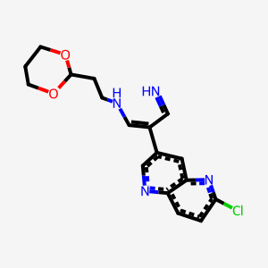 N=C/C(=C\NCCC1OCCCO1)c1cnc2ccc(Cl)nc2c1